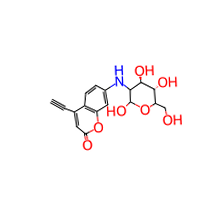 C#Cc1cc(=O)oc2cc(NC3C(O)OC(CO)[C@@H](O)[C@@H]3O)ccc12